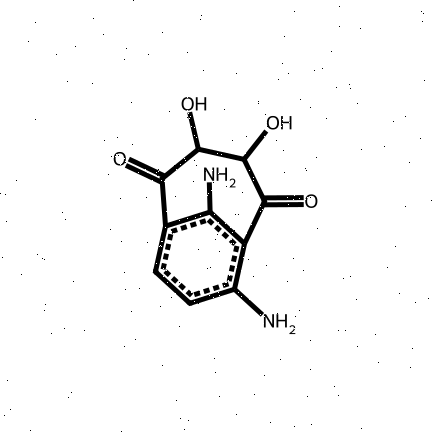 Nc1ccc2c(N)c1C(=O)C(O)C(O)C2=O